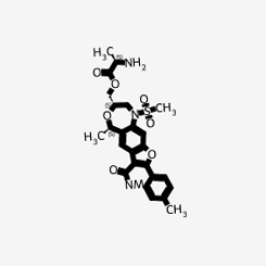 CNC(=O)c1c(-c2ccc(C)cc2)oc2cc3c(cc12)[C@H](C)O[C@H](COC(=O)[C@H](C)N)CN3S(C)(=O)=O